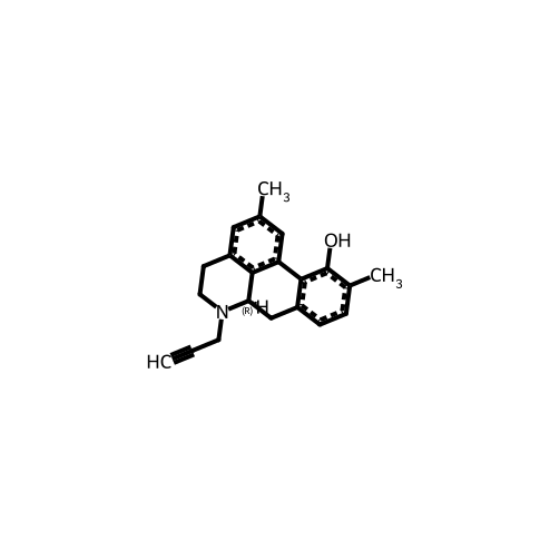 C#CCN1CCc2cc(C)cc3c2[C@H]1Cc1ccc(C)c(O)c1-3